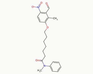 Cc1c(OCCCCCCC(=O)N(C)c2ccccc2)ccc([N+](=O)[O-])c1C=O